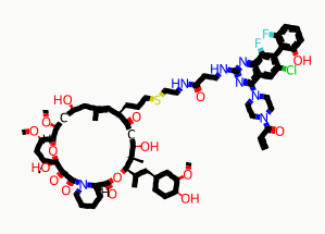 C=CC(=O)N1CCN(c2nc(NCCC(=O)NCCSCCC[C@@H]3/C=C(\C)C[C@H](O)C[C@H](OC)[C@H]4O[C@@](O)(C(=O)C(=O)N5CCCC[C@H]5C(=O)O[C@H](C(C)C[C@@H]5CC[C@@H](O)[C@H](OC)C5)[C@H](C)[C@@H](O)CC3=O)[C@H](C)C[C@@H]4OC)nc3c(F)c(-c4c(O)cccc4F)c(Cl)cc23)CC1